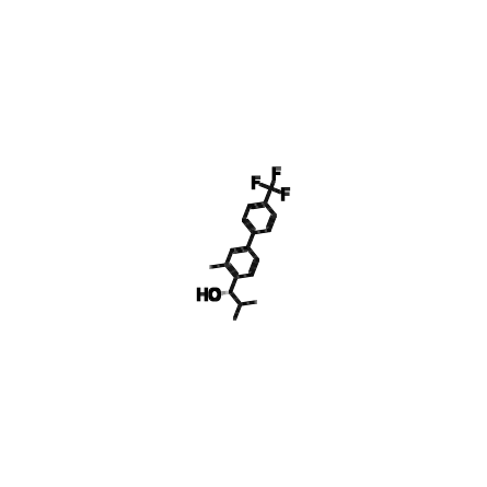 Cc1cc(-c2ccc(C(F)(F)F)cc2)ccc1[C@@H](O)C(C)C